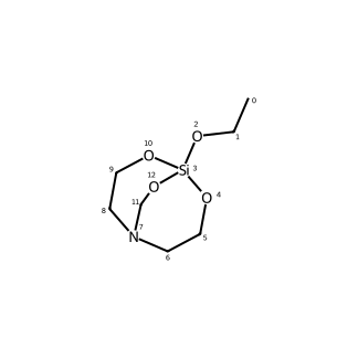 CCO[Si]12OCCN(CCO1)CO2